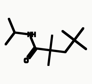 CC(C)NC(=O)C(C)(C)CC(C)(C)C